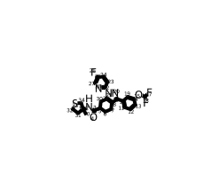 CC1(NC(=O)C2CCc3c(-c4cccc(OC(F)F)c4)nn(-c4ccc(F)cn4)c3C2)CCSC1